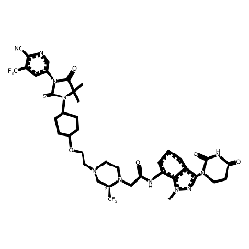 Cn1nc(N2CCC(=O)NC2=O)c2cccc(NC(=O)CN3CCN(CCOC4CCC(N5C(=S)N(c6cnc(C#N)c(C(F)(F)F)c6)C(=O)C5(C)C)CC4)C[C@@H]3C(F)(F)F)c21